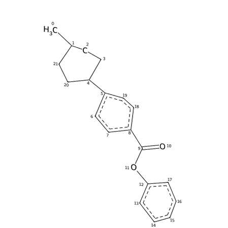 CC1CCC(c2ccc(C(=O)Oc3ccccc3)cc2)CC1